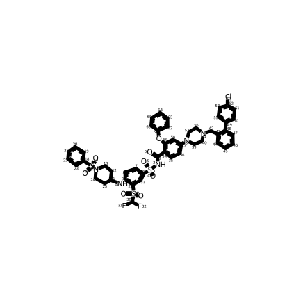 O=C(NS(=O)(=O)c1ccc(NC2CCN(S(=O)(=O)c3ccccc3)CC2)c(S(=O)(=O)C(F)F)c1)c1ccc(N2CCN(Cc3ccccc3-c3ccc(Cl)cc3)CC2)cc1Oc1ccccc1